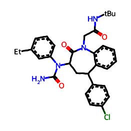 CCc1cccc(N(C(N)=O)C2CC(c3ccc(Cl)cc3)c3ccccc3N(CC(=O)NC(C)(C)C)C2=O)c1